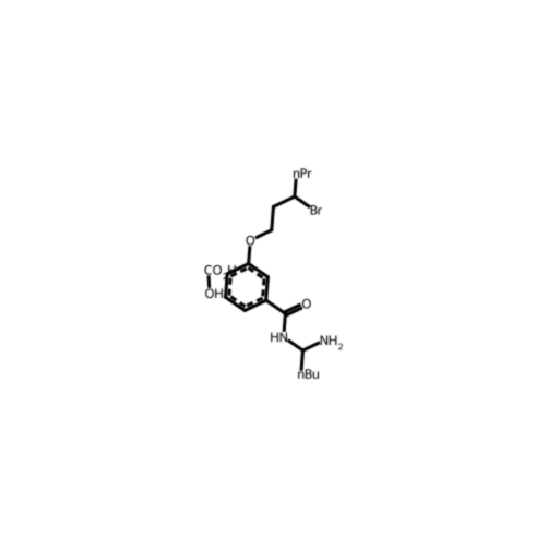 CCCCC(N)NC(=O)c1cccc(OCCC(Br)CCC)c1.O=C(O)O